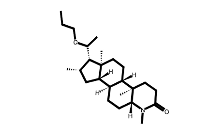 CCCOC(C)[C@H]1[C@@H](C)C[C@H]2[C@@H]3CC[C@H]4N(C)C(=O)CC[C@]4(C)[C@H]3CC[C@@]21C